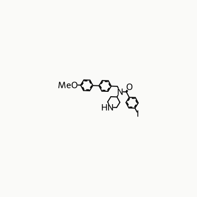 COc1ccc(-c2ccc(CN(C(=O)c3ccc(I)cc3)C3CCNCC3)cc2)cc1